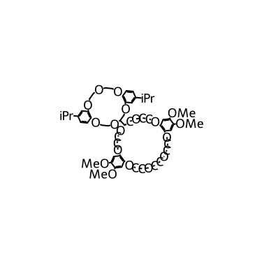 COc1cc2c(cc1OC)OCCOCC(C1COc3cc(C(C)C)ccc3OCCOCCOc3cc(C(C)C)ccc3OCCO1)OCCOc1cc(OC)c(OC)cc1OCCOCCOCCO2